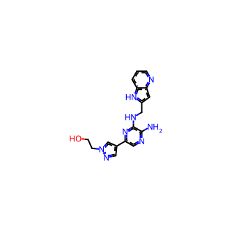 Nc1ncc(-c2cnn(CCO)c2)nc1NCc1cc2ncccc2[nH]1